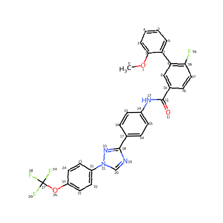 COc1ccccc1-c1cc(C(=O)Nc2ccc(-c3ncn(-c4ccc(OC(F)(F)F)cc4)n3)cc2)ccc1F